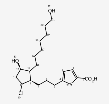 O=C(O)c1ccc(CCC[C@H]2C(Cl)C[C@@H](O)C2CCCCCCCO)s1